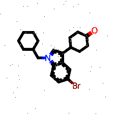 O=C1CCC(c2cn(CC3CCCCC3)c3ccc(Br)cc23)CC1